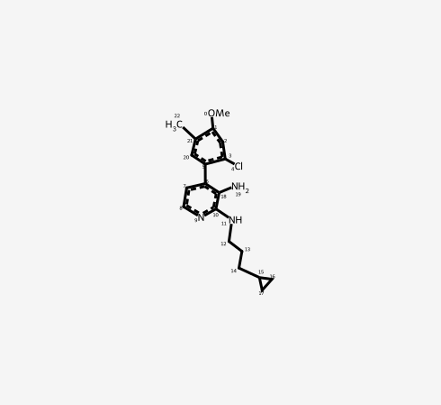 COc1cc(Cl)c(-c2ccnc(NCCCC3CC3)c2N)cc1C